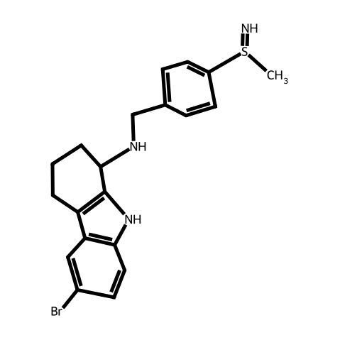 CS(=N)c1ccc(CNC2CCCc3c2[nH]c2ccc(Br)cc32)cc1